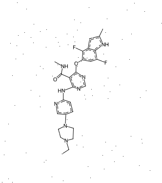 CCN1CCN(c2ccc(Nc3ncnc(Oc4cc(F)c5[nH]c(C)cc5c4F)c3C(=O)NC)nc2)CC1